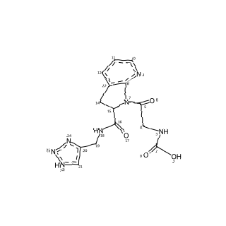 O=C(O)NCC(=O)N1c2ncccc2CC1C(=O)NCc1c[nH]nn1